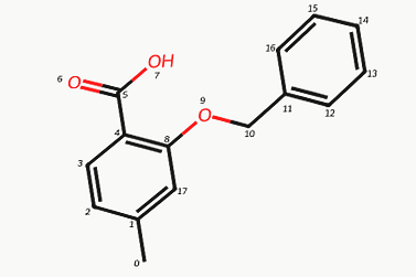 Cc1ccc(C(=O)O)c(OCc2ccccc2)c1